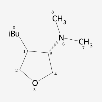 CCC(C)C1COC[C@H]1N(C)C